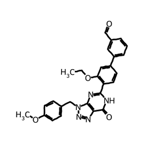 CCOc1cc(-c2cccc(C=O)c2)ccc1-c1nc2c(nnn2Cc2ccc(OC)cc2)c(=O)[nH]1